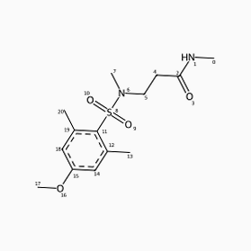 CNC(=O)CCN(C)S(=O)(=O)c1c(C)cc(OC)cc1C